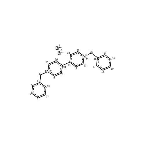 [Br-].[Br-].c1ccc(C[n+]2ccc(-c3cc[n+](Cc4ccccc4)cc3)cc2)cc1